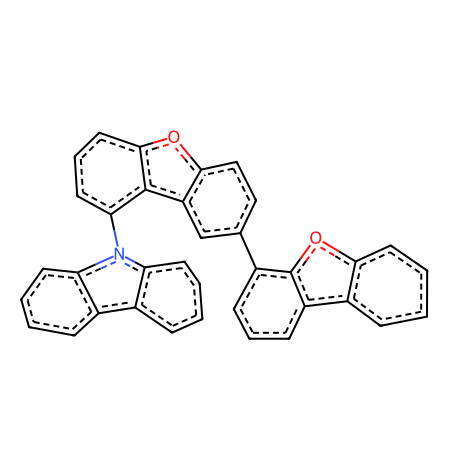 c1ccc2c(c1)oc1c(-c3ccc4oc5cccc(-n6c7ccccc7c7ccccc76)c5c4c3)cccc12